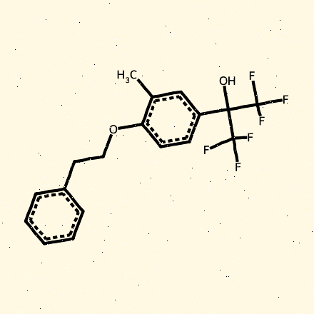 Cc1cc(C(O)(C(F)(F)F)C(F)(F)F)ccc1OCCc1ccccc1